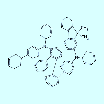 CC1(C)C2=C(C=CCC2)c2ccc(N(c3ccc4c(c3)C3(c5ccccc5-4)c4ccccc4-c4c(N(C5=CC=C(C6CC=CCC6)CC5)C5C=CC=CC5)cccc43)C3C=CC=CC3)cc21